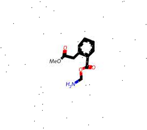 COC(=O)Cc1ccccc1C(=O)OCN